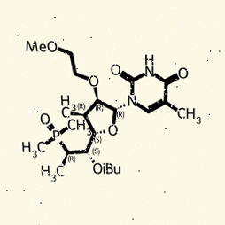 COCCO[C@@H]1[C@H](C)[C@@H]([C@H](OCC(C)C)[C@@H](C)P(C)(C)=O)O[C@H]1n1cc(C)c(=O)[nH]c1=O